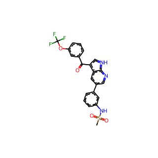 CS(=O)(=O)Nc1cccc(-c2cnc3[nH]cc(C(=O)c4cccc(OC(F)(F)F)c4)c3c2)c1